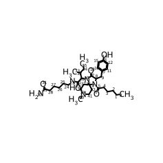 CCCCCC(=O)N1C(Cc2ccc(O)cc2)C(=O)N(C(C(=O)NCCCCCC(N)=O)C(C)CC)C12CCN(C)CC2